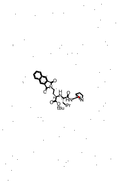 CC(C)C[C@H](N[C@H](CCN1C(=O)c2cc3ccccc3cc2C1=O)C(=O)OC(C)(C)C)C(=O)NC1CN2CCC1CC2